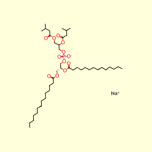 CCCCCCCCCCCCCC(=O)OC[C@H](COP(=O)([O-])OCC(COC(=O)CC(C)C)OC(=O)CC(C)C)OC(=O)CCCCCCCCCCCCC.[Na+]